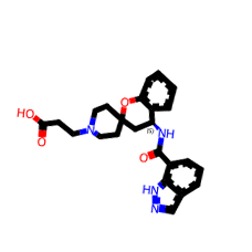 O=C(O)CCN1CCC2(CC1)C[C@H](NC(=O)c1cccc3cn[nH]c13)c1ccccc1O2